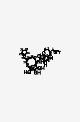 CC(C)C[C@@H]1CCO[C@@H]2[C@H](CN[C@@H]2C(=O)N[C@@H]2C/C=C\C(CN3CCCC3)CSC3OC2C(O)C(O)C3O)C1